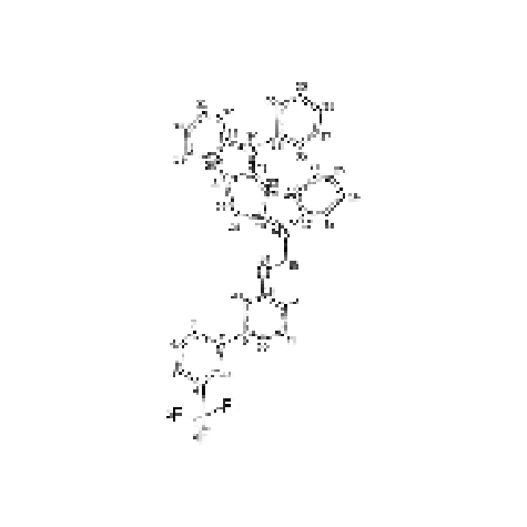 FC(F)(F)c1cccc(-c2cccc(OCn3c4ccccc4c4c3ccc3c5ccccc5n(-c5ccccc5)c34)c2)c1